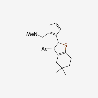 CNCC1=C(C2SC3=C(CC(C)(C)CC3)C2C(C)=O)C=CC1